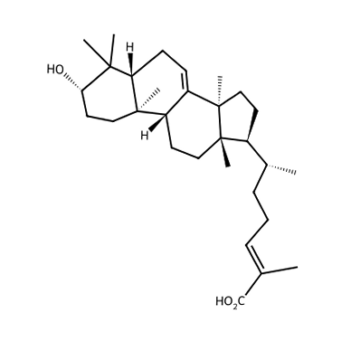 C/C(=C\CC[C@@H](C)[C@@H]1CC[C@]2(C)C3=CC[C@H]4C(C)(C)[C@@H](O)CC[C@]4(C)[C@H]3CC[C@@]12C)C(=O)O